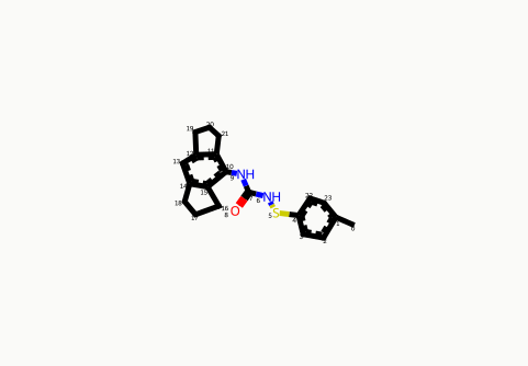 Cc1ccc(SNC(=O)Nc2c3c(cc4c2CCC4)CCC3)cc1